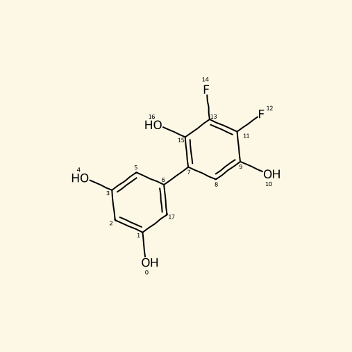 Oc1cc(O)cc(-c2cc(O)c(F)c(F)c2O)c1